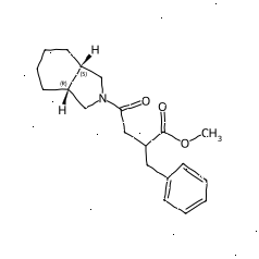 COC(=O)C(CC(=O)N1C[C@H]2CCCC[C@H]2C1)Cc1ccccc1